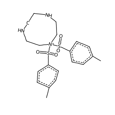 Cc1ccc(S(=O)(=O)[N+]2(S(=O)(=O)c3ccc(C)cc3)CCNCCNCC2)cc1